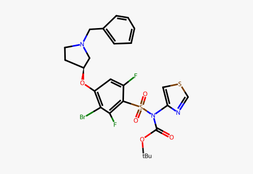 CC(C)(C)OC(=O)N(c1cscn1)S(=O)(=O)c1c(F)cc(O[C@H]2CCN(Cc3ccccc3)C2)c(Br)c1F